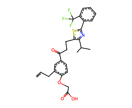 C=CCc1cc(C(=O)CCc2sc(-c3ccccc3C(F)(F)F)nc2C(C)C)ccc1OCC(=O)O